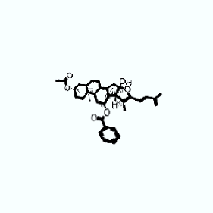 C=C(C)CCC1O[C@@]2(O)CC3C4CCC5C[C@@H](OC(C)=O)CC[C@]5(C)C4C[C@@H](OC(=O)c4ccccc4)[C@]3(C)[C@H]2[C@@H]1C